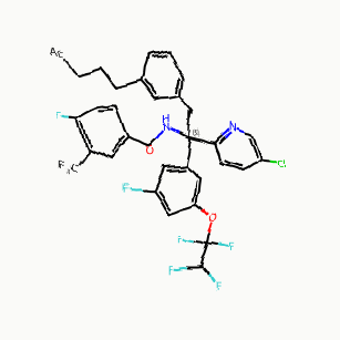 CC(=O)CCCc1cccc(C[C@](NC(=O)c2ccc(F)c(C(F)(F)F)c2)(c2cc(F)cc(OC(F)(F)C(F)F)c2)c2ccc(Cl)cn2)c1